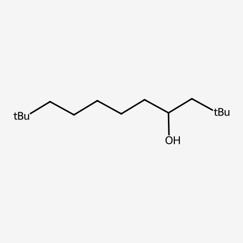 CC(C)(C)CCCCCC(O)CC(C)(C)C